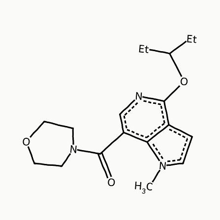 CCC(CC)Oc1ncc(C(=O)N2CCOCC2)c2c1ccn2C